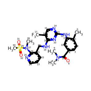 Cc1ccc(C(=O)N(C)C)cc1Nc1ncc(C(F)(F)F)c(NCc2cccnc2N(C)S(C)(=O)=O)n1